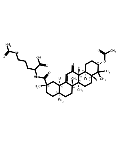 CC(=O)O[C@H]1CC[C@]2(C)[C@H]3C(=O)C=C4[C@@H]5C[C@@](C)(C(=O)NC(CCCNC(N)=O)C(=O)O)CC[C@]5(C)CC[C@@]4(C)[C@]3(C)CC[C@H]2C1(C)C